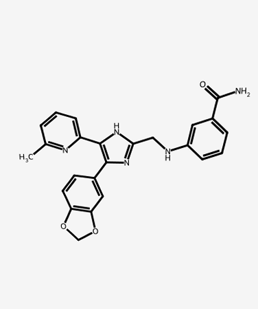 Cc1cccc(-c2[nH]c(CNc3cccc(C(N)=O)c3)nc2-c2ccc3c(c2)OCO3)n1